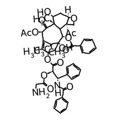 CC(=O)O[C@H]1C(=O)[C@@]2(C)C([C@H](OC(=O)c3ccccc3)[C@]3(O)CC(OC(=O)[C@H](OC(=O)CN)[C@@H](NC(=O)c4ccccc4)c4ccccc4)C(C)=C1C3(C)C)[C@]1(C(C)=O)CO[C@@H]1C[C@@H]2O